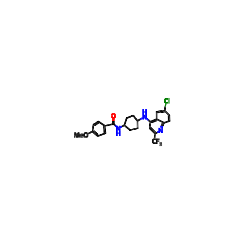 COc1ccc(C(=O)NC2CCC(Nc3cc(C(F)(F)F)nc4ccc(Cl)cc34)CC2)cc1